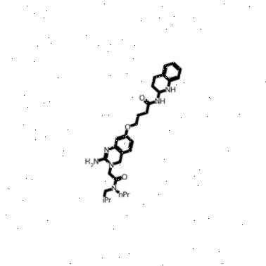 CCCN(CC(C)C)C(=O)CN1Cc2ccc(OCCCC(=O)NC3CCc4ccccc4N3)cc2N=C1N